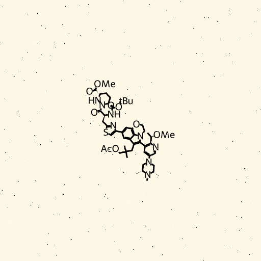 COC(=O)[C@@H]1CCCN(C(=O)[C@H](Cc2nc(-c3cc4c5c(c3)c(CC(C)(C)COC(C)=O)c(-c3cc(N6C[C@@H](C)N(C)[C@@H](C)C6)cnc3[C@H](C)OC)n5CCO4)cs2)NC(=O)OC(C)(C)C)N1